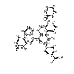 CC(=O)c1ccc(NC(=O)C2c3cccc(Oc4ccccn4)c3CCN2C(=O)/C=C/c2c(-n3cnnn3)ccc(Cl)c2F)cc1